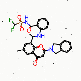 Cc1cc(C(C)Nc2ccccc2C(=O)NS(=O)(=O)C(F)F)c2oc(N3Cc4ccccc4C3)cc(=O)c2c1